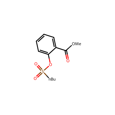 CCCCS(=O)(=O)Oc1ccccc1C(=O)OC